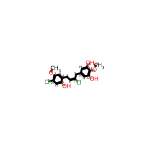 COc1cc(C/C=C(/Cl)Cc2cc(O)c(OC)c(O)c2)c(O)cc1Cl